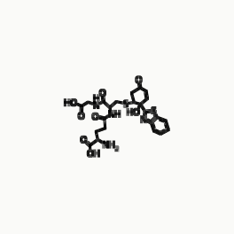 NC(CCC(=O)NC(CSC1CC(=O)C=CC1(O)c1nc2ccccc2s1)C(=O)NCC(=O)O)C(=O)O